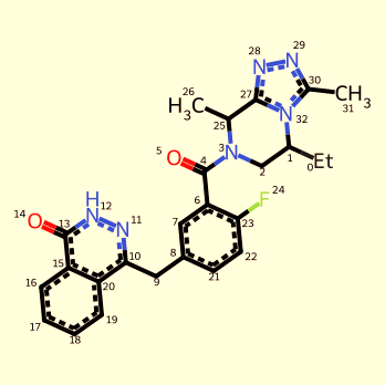 CCC1CN(C(=O)c2cc(Cc3n[nH]c(=O)c4ccccc34)ccc2F)C(C)c2nnc(C)n21